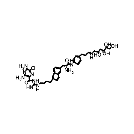 N=C(NCCCCc1ccc2cc(C[C@H](N)C(=O)Nc3ccc(CCCNC[C@H](O)C[C@H](O)[C@H](O)CO)cc3)ccc2c1)NC(=O)c1nc(Cl)c(N)nc1N